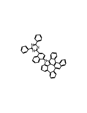 c1ccc(-c2nc(-c3ccccc3)nc(-c3ccc(-n4c5cccc6c5c5c7c(cc8ccccc8c7c7ccccc7c54)-c4ccccc4-6)c4ccccc34)n2)cc1